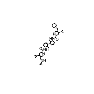 Cc1c(NC(=O)c2cc(C3CC3)c(CNC3CC3)cn2)cccc1-c1cccc(NC(=O)c2cc(C3CC3)c(CN3CCCCC3)cn2)c1C